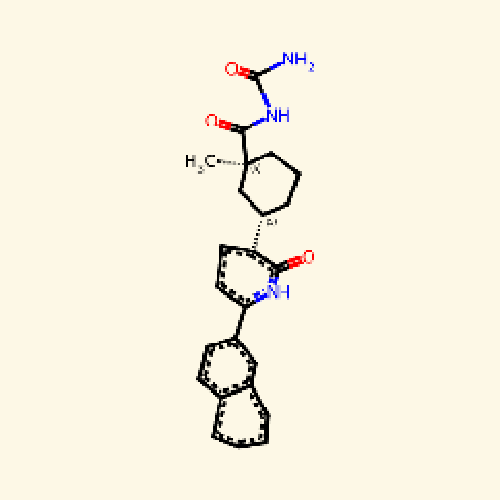 C[C@]1(C(=O)NC(N)=O)CCC[C@H](c2ccc(-c3ccc4ccccc4c3)[nH]c2=O)C1